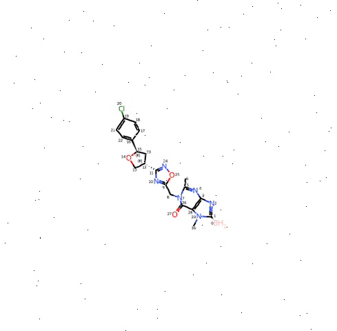 Bc1nc2nc(C)n(Cc3nc([C@@H]4CO[C@@H](c5ccc(Cl)cc5)C4)no3)c(=O)c2n1C